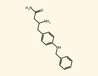 NC(=O)CC(N)Cc1ccc(NCc2ccccc2)cc1